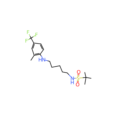 Cc1cc(C(F)(F)F)ccc1NCCCCCNS(=O)(=O)C(C)(C)C